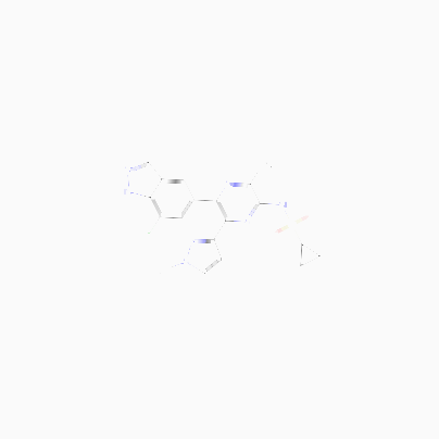 Cn1ccc(-c2nc(NS(=O)(=O)C3CC3)c(C#N)nc2-c2cc(Cl)c3[nH]ncc3c2)n1